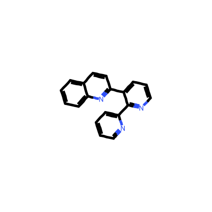 c1ccc(-c2ncccc2-c2ccc3ccccc3n2)nc1